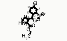 CCOC(=O)c1[nH]nnc1C(=O)c1ccc(Cl)cc1[N+](=O)[O-]